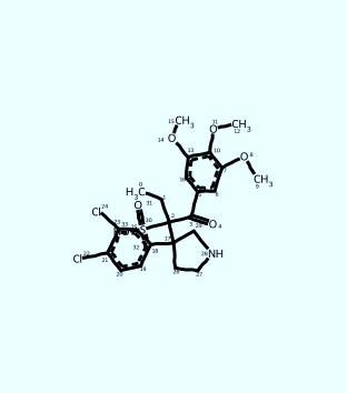 CCC(C(=O)c1cc(OC)c(OC)c(OC)c1)(C1(c2ccc(Cl)c(Cl)c2)CCNC1)S(=O)(=O)O